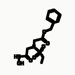 CCS(=O)(=O)N(CC(=O)NO)CC(=O)OCc1ccccc1